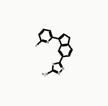 Nc1nnc(-c2ccc3c(c2)C(c2cccc(F)n2)=CC3)s1